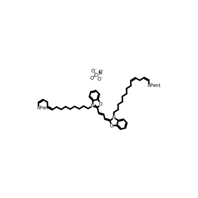 CCCCC/C=C\C/C=C\CCCCCCCCN1C(=CC=Cc2oc3ccccc3[n+]2CCCCCCCC/C=C\C/C=C\CCCCC)Oc2ccccc21.[O-][Cl+3]([O-])([O-])[O-]